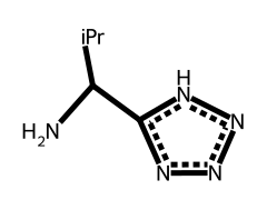 CC(C)C(N)c1nnn[nH]1